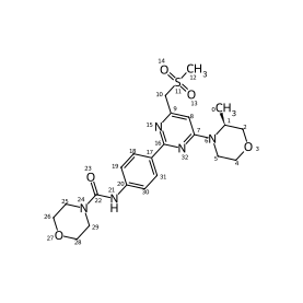 C[C@H]1COCCN1c1cc(CS(C)(=O)=O)nc(-c2ccc(NC(=O)N3CCOCC3)cc2)n1